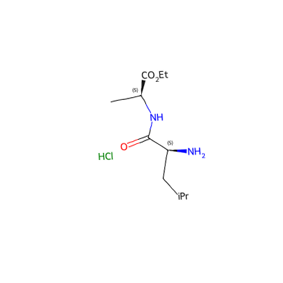 CCOC(=O)[C@H](C)NC(=O)[C@@H](N)CC(C)C.Cl